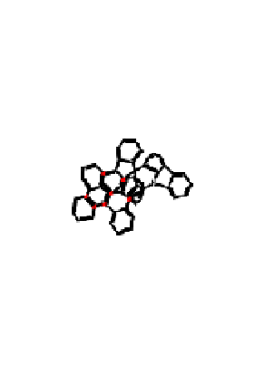 c1ccc(N(c2ccc3c(c2)C2(c4ccccc4-3)c3ccccc3-n3c4ccccc4c4cccc2c43)c2ccccc2-c2ccccc2-c2cccc3ccccc23)cc1